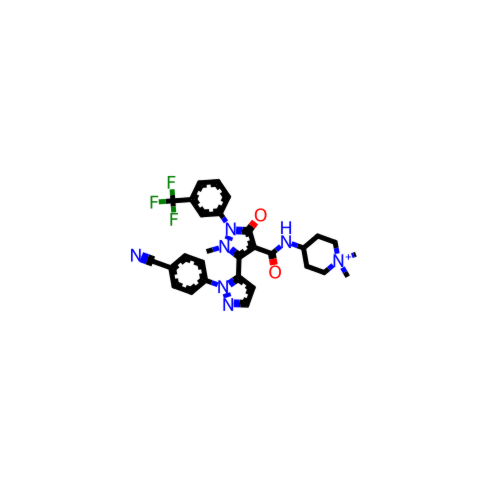 Cn1c(-c2ccnn2-c2ccc(C#N)cc2)c(C(=O)NC2CC[N+](C)(C)CC2)c(=O)n1-c1cccc(C(F)(F)F)c1